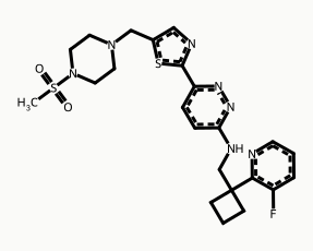 CS(=O)(=O)N1CCN(Cc2cnc(-c3ccc(NCC4(c5ncccc5F)CCC4)nn3)s2)CC1